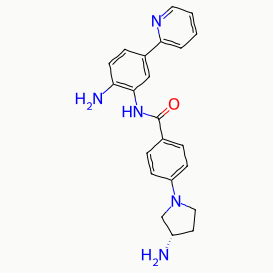 Nc1ccc(-c2ccccn2)cc1NC(=O)c1ccc(N2CC[C@H](N)C2)cc1